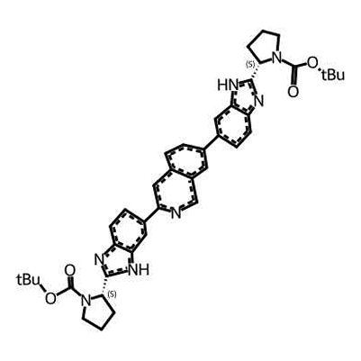 CC(C)(C)OC(=O)N1CCC[C@H]1c1nc2ccc(-c3ccc4cc(-c5ccc6nc([C@@H]7CCCN7C(=O)OC(C)(C)C)[nH]c6c5)ncc4c3)cc2[nH]1